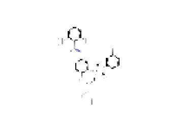 C/C(=C\c1ccc2c(c1)N(S(=O)(=O)c1cccc(C)c1)C[C@H](CCO)O2)c1c(F)cccc1Cl